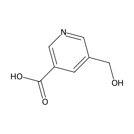 O=C(O)c1cncc(CO)c1